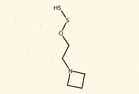 SSOCCN1CCC1